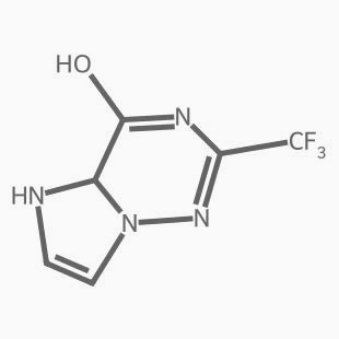 OC1=NC(C(F)(F)F)=NN2C=CNC12